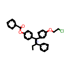 CC/C(=C(/c1ccc(OCCCl)cc1)c1ccc(OC(=O)c2ccccc2)cc1)c1ccccc1